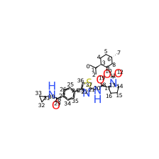 CC(C)[C@H]1CC[C@H](C)CC1OC(=O)N1CCC[C@H]1C(=O)Nc1nc(-c2ccc(C(=O)NC3CC3)cc2)cs1